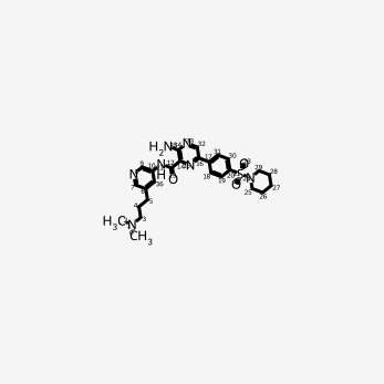 CN(C)CCCc1cncc(NC(=O)c2nc(-c3ccc(S(=O)(=O)N4CCCCC4)cc3)cnc2N)c1